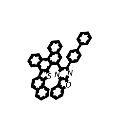 c1ccc(-c2ccc(-c3nc4oc5ccccc5c4nc3-c3cc4ccccc4c4c5ccccc5c5c6ccc7ccccc7c6sc5c34)cc2)cc1